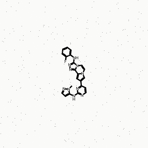 Cn1nccc1Nc1nccc(-c2cc3c4nnc(Nc5ccccc5F)n4ccn3c2)n1